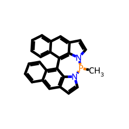 Cp1n2ccc3cc4ccccc4c(c4c5ccccc5cc5ccn1c54)c32